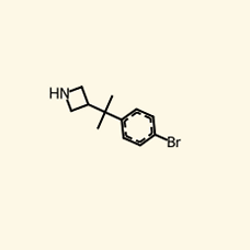 CC(C)(c1ccc(Br)cc1)C1CNC1